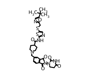 CC(C)(C)c1cnc(CSc2cnc(NC(=O)C3CCN(Cc4ccc5c(c4)C(=O)N(N4CCC(=O)NC4=O)C5=O)CC3)s2)o1